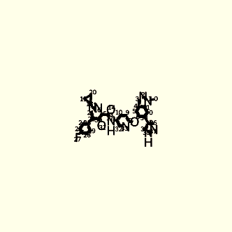 Cn1ncc2cc(Oc3ccc(NC(=O)c4nn(C5CC5)cc(-c5ccc(F)cc5)c4=O)cn3)c(-c3cn[nH]c3)cc21